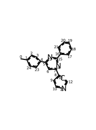 Cc1ccc(-c2cc(-c3ccncc3)nc(-c3ccccc3)n2)cc1